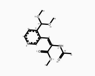 COC(=O)/C(=C\c1cnccc1C(OC)OC)NC(C)=O